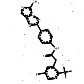 Cc1ncc2oc(-c3ccc(NC(=O)Cc4cc(F)ccc4C(F)(F)F)cc3)nn12